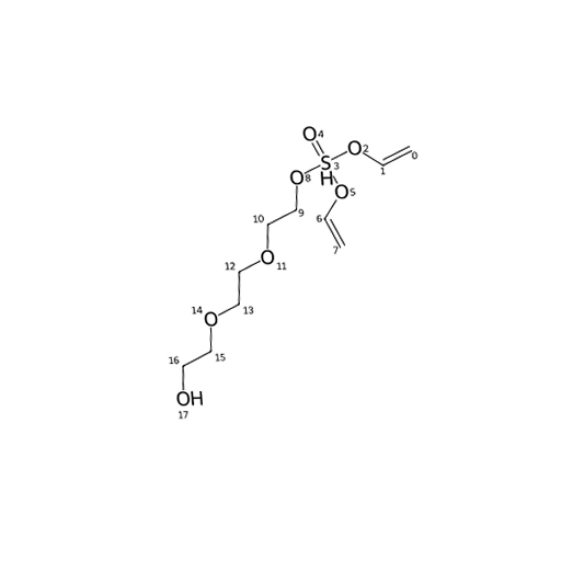 C=CO[SH](=O)(OC=C)OCCOCCOCCO